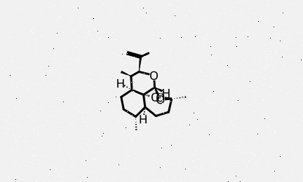 C=C(C)[C@H]1O[C@@H]2O[C@]3(C)CC[C@H]4[C@H](C)CC[C@@H]([C@H]1C)[C@@]24OO3